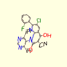 CC(C)c1ncnc(C(C)C)c1-n1c(=O)c(C#N)c(O)c2cc(Cl)c(-c3ccccc3F)nc21